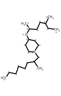 CCCCCCC(C)CN1CCC(O[C@@H](C)CCC(C)CC)CC1